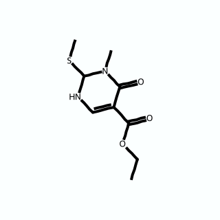 CCOC(=O)C1=CNC(SC)N(C)C1=O